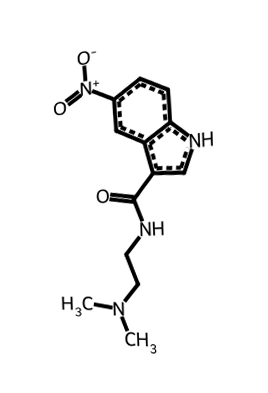 CN(C)CCNC(=O)c1c[nH]c2ccc([N+](=O)[O-])cc12